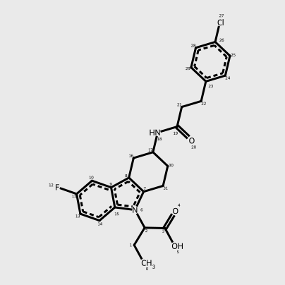 CCC(C(=O)O)n1c2c(c3cc(F)ccc31)CC(NC(=O)CCc1ccc(Cl)cc1)CC2